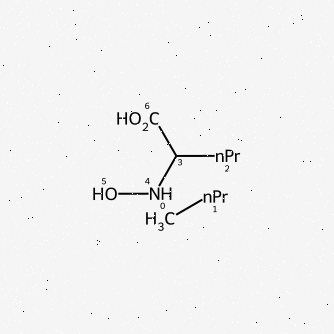 CCCC.CCCC(NO)C(=O)O